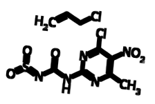 C=CCCl.Cc1nc(NC(=O)N=S(=O)=O)nc(Cl)c1[N+](=O)[O-]